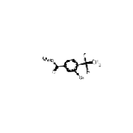 COC(=O)c1ccc(C(C)(F)F)c(Br)c1